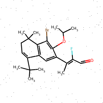 CC(=C(F)C=O)c1cc2c(c(Br)c1OC(C)C)C(C)(C)CC=C2C(C)(C)C